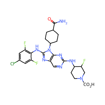 NC(=O)C1CCC(n2c(Nc3c(F)cc(Cl)cc3F)nc3cnc(NC4CCN(C(=O)O)CC4F)nc32)CC1